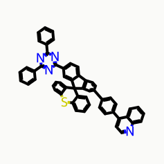 c1ccc(-c2nc(-c3ccccc3)nc(-c3ccc4c(c3)C3(c5ccccc5Sc5ccccc53)c3cc(-c5ccc(-c6ccnc7ccccc67)cc5)ccc3-4)n2)cc1